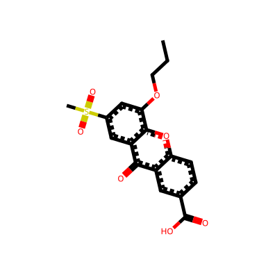 CCCOc1cc(S(C)(=O)=O)cc2c(=O)c3cc(C(=O)O)ccc3oc12